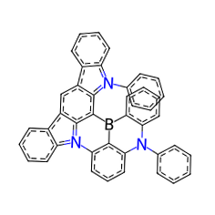 c1ccc(N2c3ccccc3B3c4c2cccc4-n2c4ccccc4c4cc5c6ccccc6n(-c6ccccc6)c5c3c42)cc1